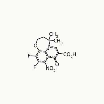 CC1(C)CCOc2c(F)c(F)c([N+](=O)[O-])c3c(=O)c(C(=O)O)cn1c23